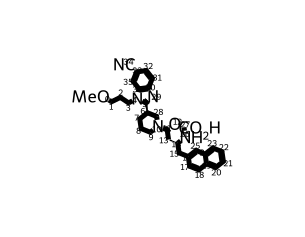 COCCCn1c([C@@H]2CCCN(C(=O)C[C@@H](Cc3ccc4ccccc4c3)NC(=O)O)C2)nc2ccc(C#N)cc21